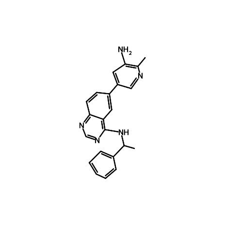 Cc1ncc(-c2ccc3ncnc(NC(C)c4ccccc4)c3c2)cc1N